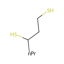 CCCC(S)CCS